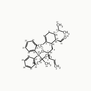 C=CC[C@H](C[C@H]1C(C)=CC[C@H](C(C)C)[C@H]1C=O)O[Si](c1ccccc1)(c1ccccc1)C(C)(C)C